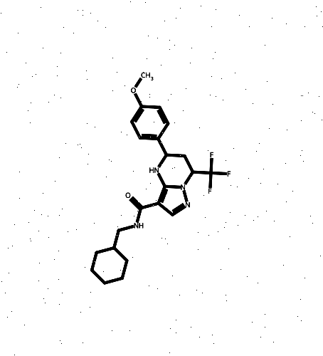 COc1ccc(C2CC(C(F)(F)F)n3ncc(C(=O)NCC4CCCCC4)c3N2)cc1